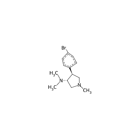 CN1C[C@H](c2ccc(Br)cc2)[C@@H](N(C)C)C1